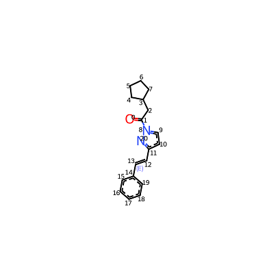 O=C(CC1CCCC1)n1ccc(/C=C/c2ccccc2)n1